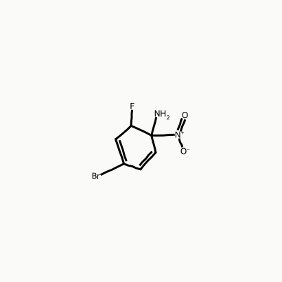 NC1([N+](=O)[O-])C=CC(Br)=CC1F